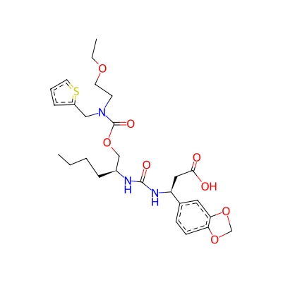 CCCC[C@@H](COC(=O)N(CCOCC)Cc1cccs1)NC(=O)N[C@@H](CC(=O)O)c1ccc2c(c1)OCO2